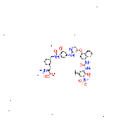 COc1cc(Nc2cc(Oc3ccc(NC(=O)Nc4cc(C(C)(C)C)cc(NS(C)(=O)=O)c4OC)c4ccccc34)ccn2)ccc1C(=O)NCc1cccc(C[C@@H](N)C(=O)O)c1